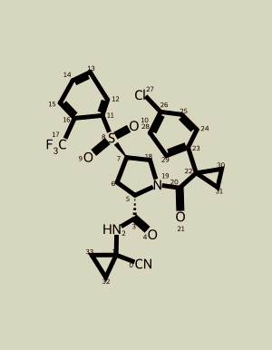 N#CC1(NC(=O)[C@@H]2C[C@@H](S(=O)(=O)c3ccccc3C(F)(F)F)CN2C(=O)C2(c3ccc(Cl)cc3)CC2)CC1